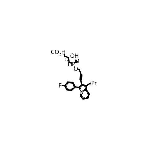 CC(C)c1c(C#CCO[PH](=O)C[C@@H](O)CC(=O)O)c(-c2ccc(F)cc2)n2ccccc12